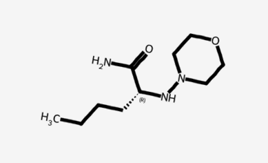 CCCC[C@@H](NN1CCOCC1)C(N)=O